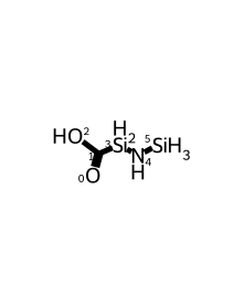 O=C(O)[SiH2]N[SiH3]